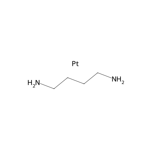 NCCCCN.[Pt]